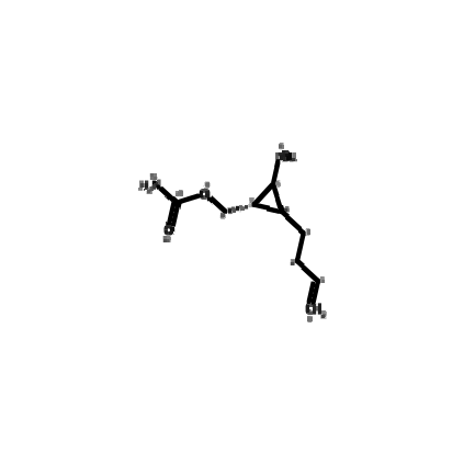 C=CCCC1C(CCCC)[C@H]1COC(N)=O